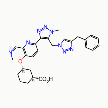 C/N=C\c1nc(-c2nnn(C)c2Cn2cc(Cc3ccccc3)nn2)ccc1O[C@H]1CCC[C@H](C(=O)O)C1